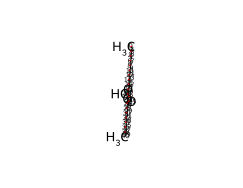 CCCCCCCCCCCCCCCCCCOCC(O)COC(=O)CCCCCCCCCCCCCCC